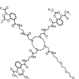 CC(=O)Oc1cccc(C(=O)NCCNC(=O)CN2CCN(CC(=O)NCCCOCCOCCOCCCN)CCN(CC(=O)NCCNC(=O)c3cccc(OC(C)=O)c3OC(C)=O)CCN(CC(=O)NCCNC(=O)c3cccc(OC(C)=O)c3OC(C)=O)CC2)c1OC(C)=O